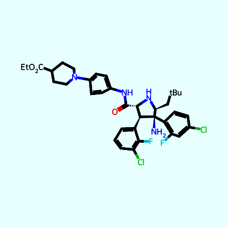 CCOC(=O)C1CCN(c2ccc(NC(=O)[C@@H]3N[C@@H](CC(C)(C)C)[C@](N)(c4ccc(Cl)cc4F)[C@H]3c3cccc(Cl)c3F)cc2)CC1